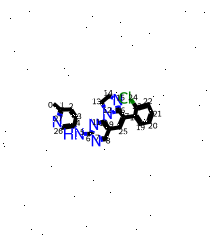 Cc1ccc(Nc2ncc3c(n2)N2CCN=C2C(c2ccccc2Cl)=C3)cn1